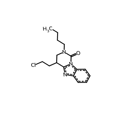 CCCCN1CC(CCCl)c2nc3ccccc3n2C1=O